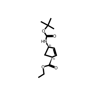 CCOC(=O)[C@@H]1C=C[C@H](NC(=O)OC(C)(C)C)C1